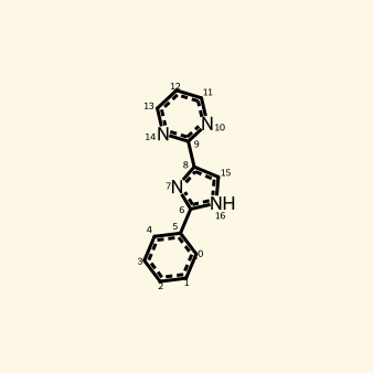 [c]1ccccc1-c1nc(-c2ncccn2)c[nH]1